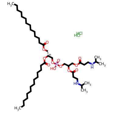 CCCCCCCCCCCCCC(=O)OC[C@H](COP(=O)(O)OCC(COC(=O)CCNC(C)C)OC(=O)CCNC(C)C)OC(=O)CCCCCCCCCCCCC.Cl.Cl